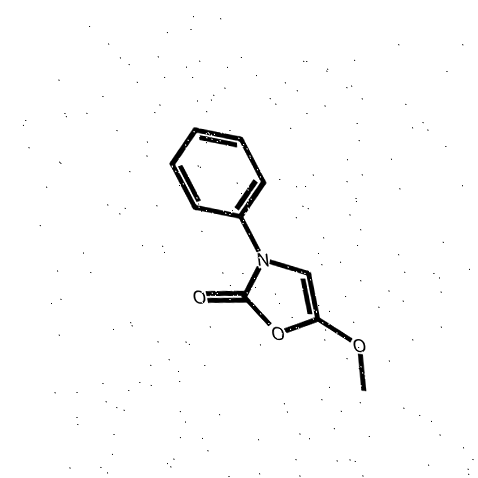 COc1cn(-c2ccccc2)c(=O)o1